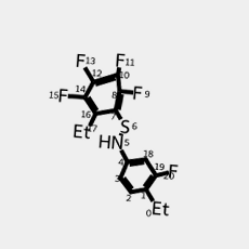 CCc1ccc(NSc2c(F)c(F)c(F)c(F)c2CC)cc1F